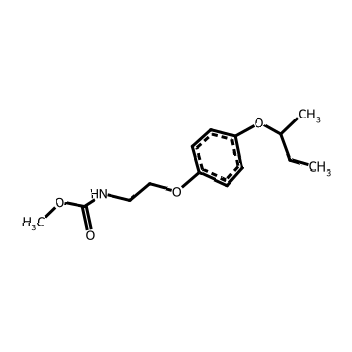 CCC(C)Oc1ccc(OCCNC(=O)OC)cc1